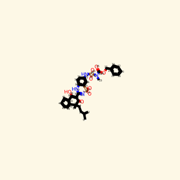 CC(C)CCC1(C)C(=O)C(C2=NS(=O)(=O)c3cc(NS(=O)(=O)N(C)C(=O)OCc4ccccc4)ccc3N2)=C(O)c2ccccc21